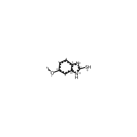 Sc1nc2ccc(OI)cc2[nH]1